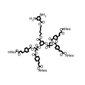 CCCCCCOC(=O)/C=C/c1ccc(C(=O)OCC(C)(COC(=O)c2ccc(/C=C/C(=O)OCCCCCC)cc2)C(=O)Oc2cc(OC(=O)C(C)(COC(=O)c3ccc(/C=C/C(=O)OCCCCCC)cc3)COC(=O)c3ccc(/C=C/C(=O)OCCCCCC)cc3)cc(C(=O)OCCCCCCOC(=O)c3cc(N)cc(N)c3)c2)cc1